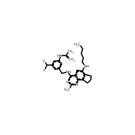 C=C(C)Nc1cc(CNc2nc(C)nc3c4c(c(NCCCCC)cc23)CCC4)cc(C(F)F)c1